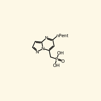 CCCCCc1cc(CP(=O)(O)O)n2nccc2n1